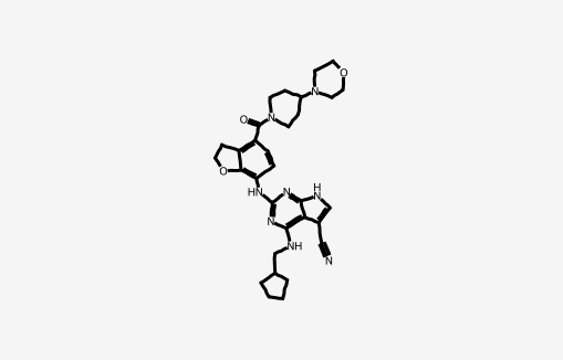 N#Cc1c[nH]c2nc(Nc3ccc(C(=O)N4CCC(N5CCOCC5)CC4)c4c3OCC4)nc(NCC3CCCC3)c12